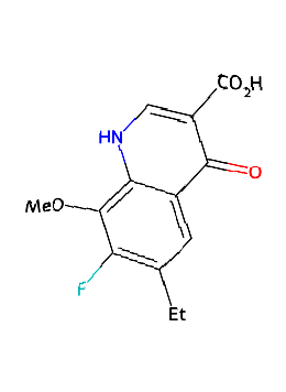 CCc1cc2c(=O)c(C(=O)O)c[nH]c2c(OC)c1F